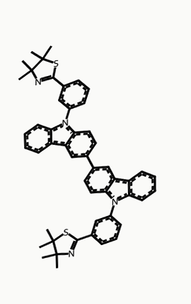 CC1(C)N=C(c2cccc(-n3c4ccccc4c4cc(-c5ccc6c(c5)c5ccccc5n6-c5cccc(C6=NC(C)(C)C(C)(C)S6)c5)ccc43)c2)SC1(C)C